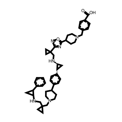 O=C(O)c1ccc(CN2CCC(c3nc(C4(CN[C@H]5C[C@@H]5c5ccc(C6CCN(CC7(CNC8CC8c8ccccc8)CC7)CC6)cc5)CC4)no3)CC2)cc1